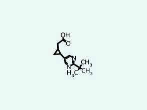 CC(C)(C)c1ncc(C2CC2CC(=O)O)cn1